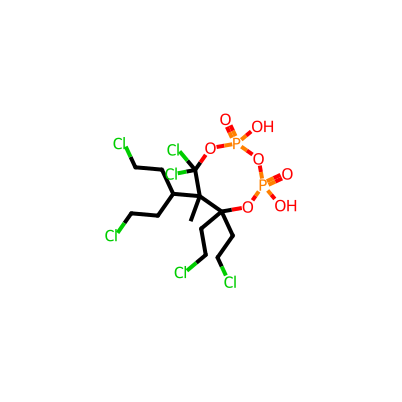 CC1(C(CCCl)CCCl)C(Cl)(Cl)OP(=O)(O)OP(=O)(O)OC1(CCCl)CCCl